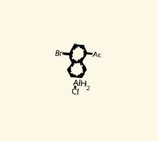 CC(=O)c1ccc(Br)c2ccccc12.[AlH2][Cl]